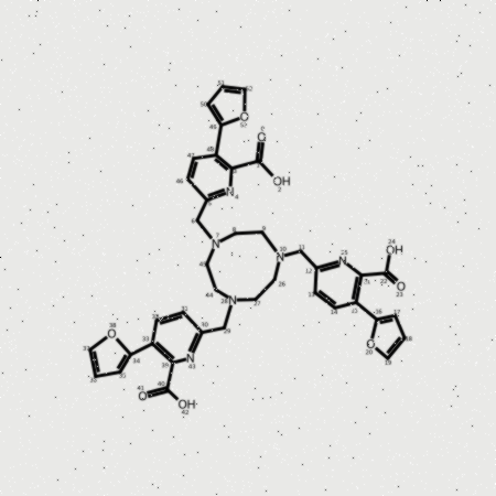 O=C(O)c1nc(CN2CCN(Cc3ccc(-c4ccco4)c(C(=O)O)n3)CCN(Cc3ccc(-c4ccco4)c(C(=O)O)n3)CC2)ccc1-c1ccco1